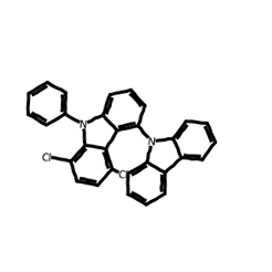 Clc1ccc(Cl)c2c1c1c(-n3c4ccccc4c4ccccc43)cccc1n2-c1ccccc1